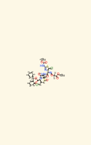 CC(C)(C)OC(=O)Nc1nc(/C(=N/OC(C)(C)C(=O)OC(C)(C)C)C(=O)N[C@@H]2C(=O)N3C(C(=O)OC(c4ccccc4)c4ccccc4)=C(CCl)C[S+]([O-])[C@H]23)c(Cl)s1